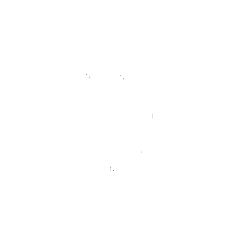 Cc1c(C(N)=O)ccc2[nH][c]nc12